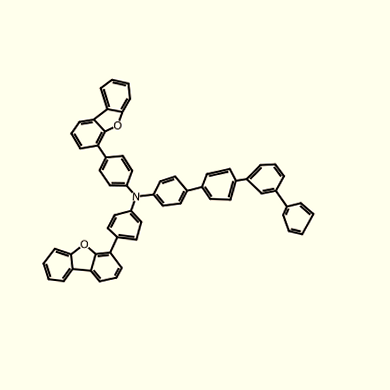 c1ccc(-c2cccc(-c3ccc(-c4ccc(N(c5ccc(-c6cccc7c6oc6ccccc67)cc5)c5ccc(-c6cccc7c6oc6ccccc67)cc5)cc4)cc3)c2)cc1